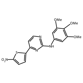 COc1cc(Nc2nccc(-c3ccc([N+](=O)[O-])s3)n2)cc(OC)c1OC